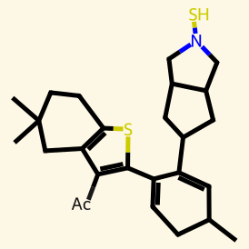 CC(=O)c1c(C2=CCC(C)C=C2C2CC3CN(S)CC3C2)sc2c1CC(C)(C)CC2